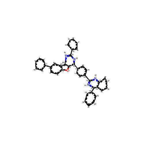 c1ccc(-c2ccc3oc4c(-c5ccc(-c6nc(-c7ccccc7)c7ccccc7n6)cc5)nc(-c5ccccc5)nc4c3c2)cc1